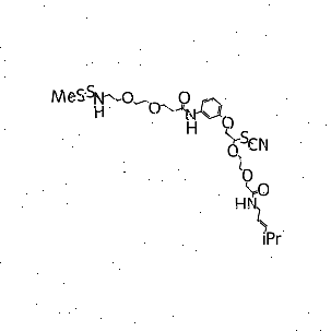 CSSNCCOCCOCCC(=O)Nc1cccc(OC[C@H](OCCOCC(=O)NC/C=C/C(C)C)SC#N)c1